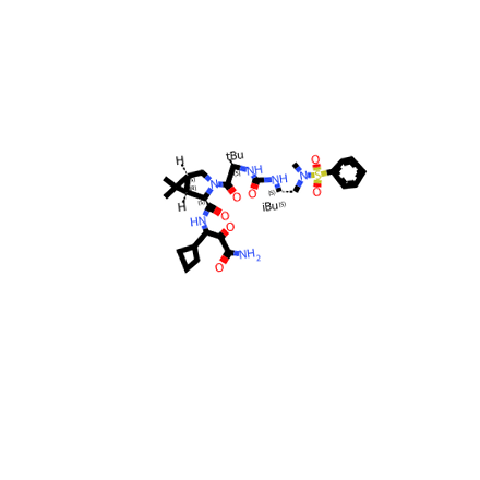 CC[C@H](C)[C@@H](CN(C)S(=O)(=O)c1ccccc1)NC(=O)N[C@H](C(=O)N1C[C@H]2[C@@H]([C@H]1C(=O)NC(C(=O)C(N)=O)C1CCC1)C2(C)C)C(C)(C)C